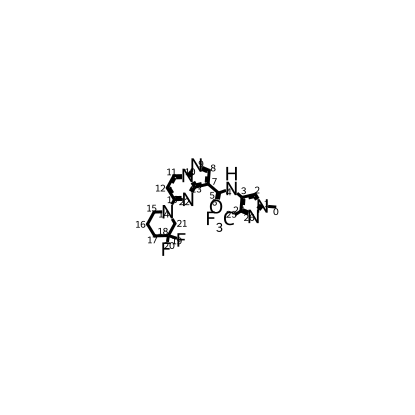 Cn1cc(NC(=O)c2cnn3ccc(N4CCCC(F)(F)C4)nc23)c(C(F)(F)F)n1